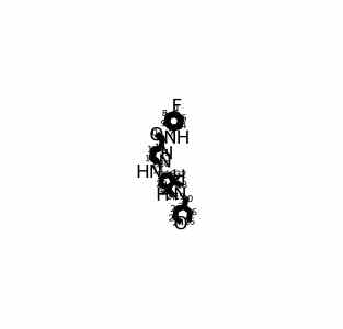 O=C(Nc1ccc(F)cc1)c1ccc(NC2C[C@@H]3CN(CC4CCOCC4)C[C@@H]3C2)nn1